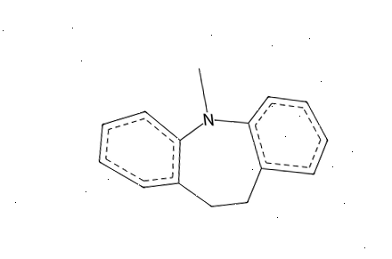 CN1c2ccccc2CCc2ccccc21